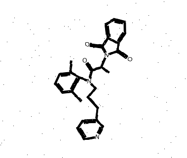 Cc1cccc(C)c1N(CCCc1cccnc1)C(=O)C(C)N1C(=O)c2ccccc2C1=O